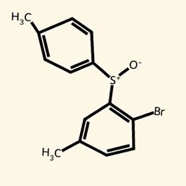 Cc1ccc([S+]([O-])c2cc(C)ccc2Br)cc1